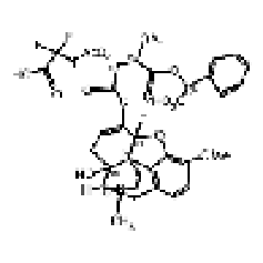 COc1ccc2c3c1O[C@H]1C(OC(=O)[C@H](OC(C)=O)[C@@H](OC(C)=O)C(=O)O[C@H](C(=O)O)c4ccccc4)=CC[C@@]4(O)[C@@H](C2)N(C)CC[C@]314.O=C(O)C(F)(F)F